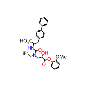 COc1ccccc1OC(=O)C(O)CN(CC(C)C)C(=O)NC(Cc1ccc(-c2ccccc2)cc1)C(=O)O